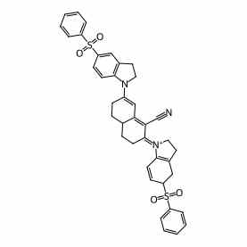 N#CC1=C2C=C(N3CCc4cc(S(=O)(=O)c5ccccc5)ccc43)CCC2CC/C1=[N+]1/CCC2=C1C=CC(S(=O)(=O)c1ccccc1)C2